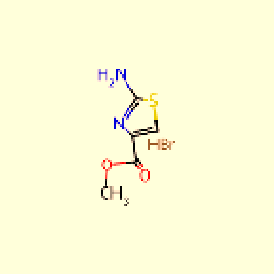 Br.COC(=O)c1csc(N)n1